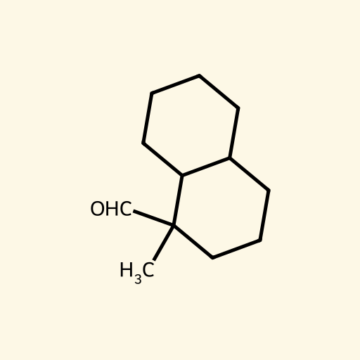 CC1(C=O)CCCC2CCCCC21